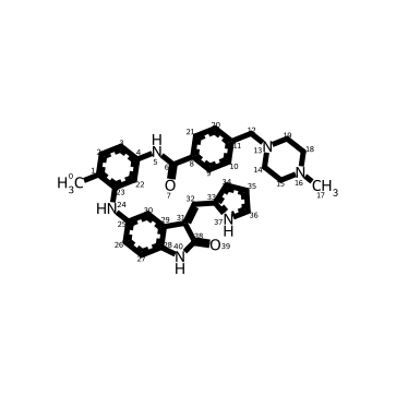 Cc1ccc(NC(=O)c2ccc(CN3CCN(C)CC3)cc2)cc1Nc1ccc2c(c1)/C(=C/c1ccc[nH]1)C(=O)N2